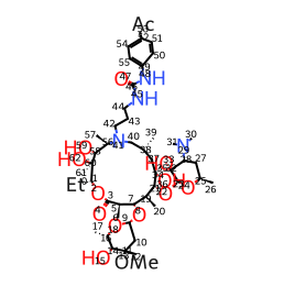 CC[C@H]1OC(=O)[C@H](C)[C@@H](O[C@H]2C[C@@](C)(OC)[C@@H](O)[C@H](C)O2)[C@H](C)[C@@H](O[C@@H]2O[C@H](C)C[C@H](N(C)C)[C@H]2O)[C@](C)(O)C[C@@H](C)CN(CCCNC(=O)Nc2ccc(C(C)=O)cc2)[C@H](C)[C@@H](O)[C@]1(C)O